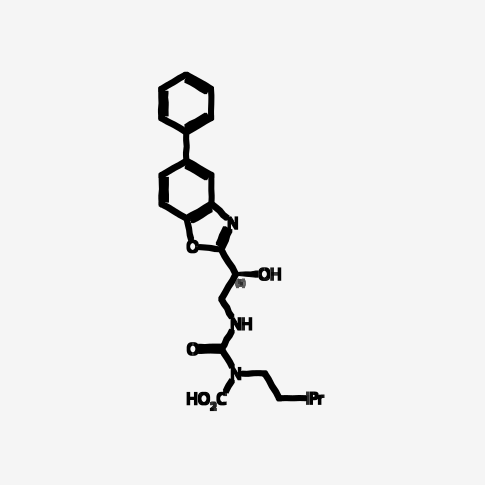 CC(C)CCN(C(=O)O)C(=O)NC[C@H](O)c1nc2cc(-c3ccccc3)ccc2o1